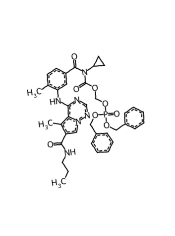 CCCNC(=O)c1cn2ncnc(Nc3cc(C(=O)N(C(=O)OCOP(=O)(OCc4ccccc4)OCc4ccccc4)C4CC4)ccc3C)c2c1C